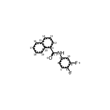 O=C(Nc1ccc(F)c(F)c1)c1cccc2ccccc12